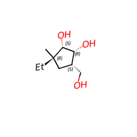 CC[C@]1(C)C[C@@H](CO)[C@@H](O)[C@H]1O